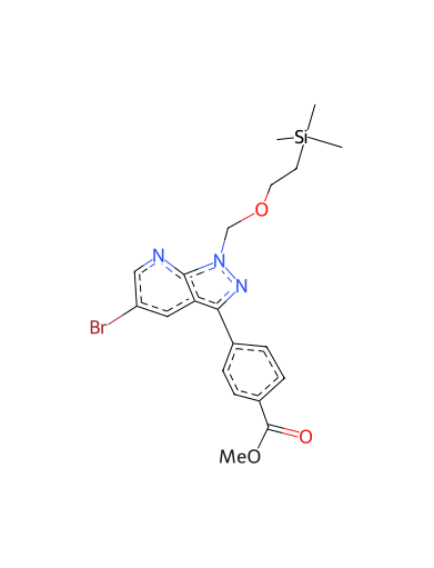 COC(=O)c1ccc(-c2nn(COCC[Si](C)(C)C)c3ncc(Br)cc23)cc1